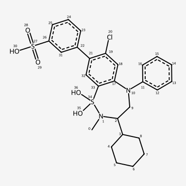 CN1C(C2CCCCC2)CN(c2ccccc2)c2cc(Cl)c(-c3cccc(S(=O)(=O)O)c3)cc2S1(O)O